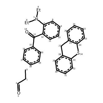 CCC=O.CCN(CC)c1ccccc1C(=O)c1ccccc1.c1ccc2c(c1)Cc1ccccc1S2